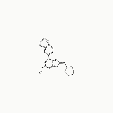 Cc1cc(-c2ccc3ccccc3c2)c2c(c1)=[C]C(=CC1CCCCC1)C=2.[Zr]